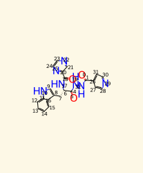 O=C(NNC(=O)[C@H](Cc1c[nH]c2ccccc12)NC(=O)c1cnccn1)c1ccncc1